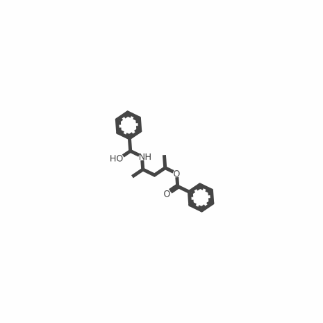 CC(CC(C)OC(=O)c1ccccc1)NC(O)c1ccccc1